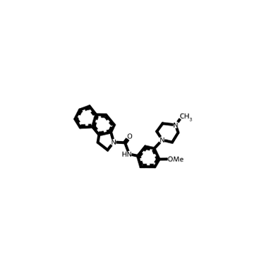 COc1ccc(NC(=O)N2CCc3c2ccc2ccccc32)cc1N1CCN(C)CC1